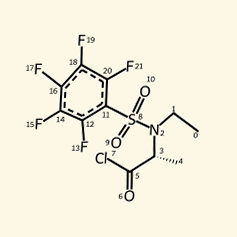 CCN([C@H](C)C(=O)Cl)S(=O)(=O)c1c(F)c(F)c(F)c(F)c1F